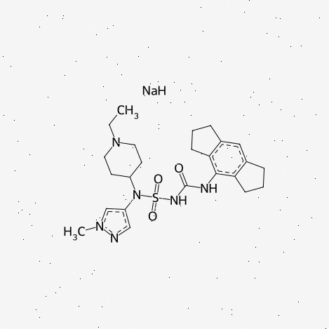 CCN1CCC(N(c2cnn(C)c2)S(=O)(=O)NC(=O)Nc2c3c(cc4c2CCC4)CCC3)CC1.[NaH]